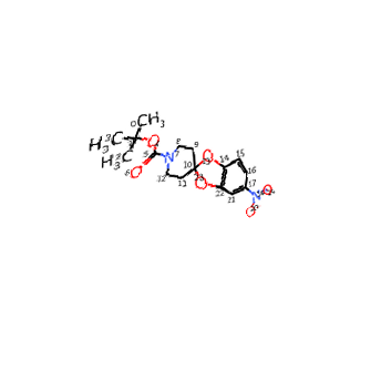 CC(C)(C)OC(=O)N1CCC2(CC1)Oc1ccc([N+](=O)[O-])cc1O2